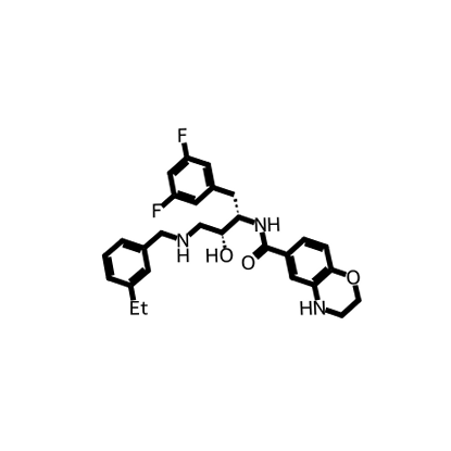 CCc1cccc(CNC[C@@H](O)[C@H](Cc2cc(F)cc(F)c2)NC(=O)c2ccc3c(c2)NCCO3)c1